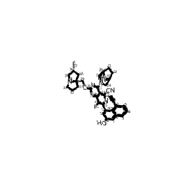 C#Cc1cccc2cc(O)cc(-c3nc(C#N)c4c(N5CC6CCC(C5)N6)nc(OC[C@@]56CCCN5C[C@H](F)C6)nc4c3F)c12